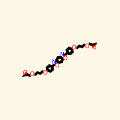 c1cc(-c2nc3cc4nc(-c5ccc(OCCCCOCC6CO6)cc5)oc4cc3o2)ccc1OCCCCOCC1CO1